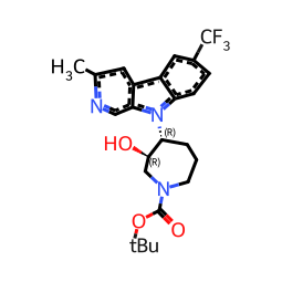 Cc1cc2c3cc(C(F)(F)F)ccc3n([C@@H]3CCCN(C(=O)OC(C)(C)C)C[C@H]3O)c2cn1